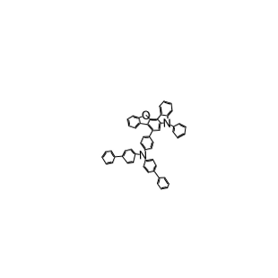 c1ccc(-c2ccc(N(c3ccc(-c4ccccc4)cc3)c3ccc(-c4cc5c(c6ccccc6n5-c5ccccc5)c5oc6ccccc6c45)cc3)cc2)cc1